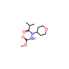 COC(=O)NN(C(=O)C(C)C)C1CCOCC1